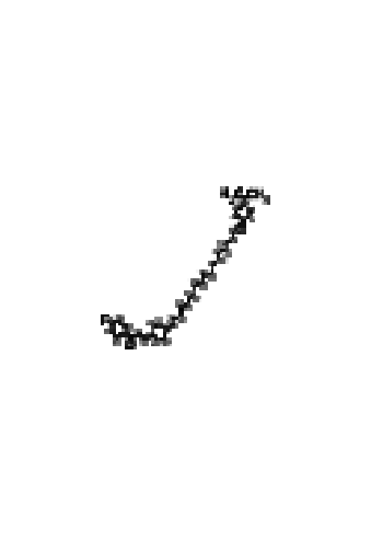 C=C(C)c1ccc(OCCCCCCCCCCCCCCCCCCc2ccc(C=CC(=O)c3ccc(F)cc3)cc2)cc1